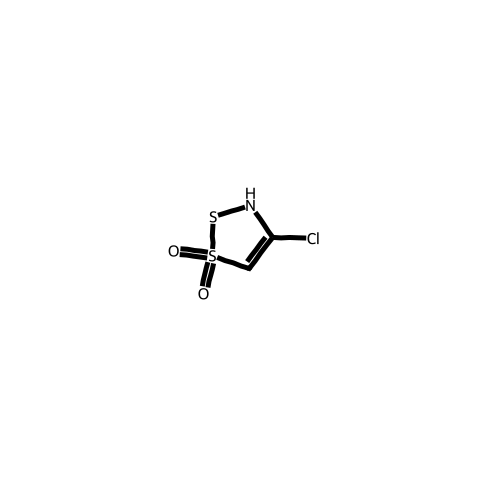 O=S1(=O)C=C(Cl)NS1